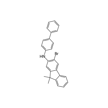 CC1(C)c2ccccc2-c2cc(Br)c(Nc3ccc(-c4ccccc4)cc3)cc21